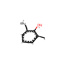 Cc1[c]ccc(C(C)(C)C)c1O